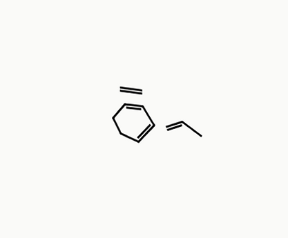 C1=CCCC=C1.C=C.C=CC